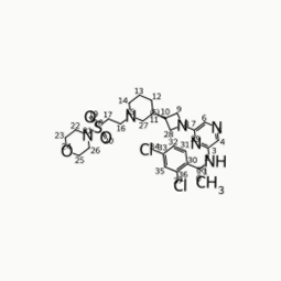 C[C@@H](Nc1cncc(N2CC([C@@H]3CCCN(CCS(=O)(=O)N4CCOCC4)C3)C2)n1)c1ccc(Cl)cc1Cl